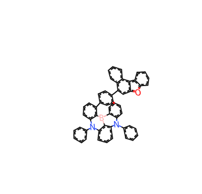 c1ccc(N2c3ccccc3B3c4c(-c5ccc(-c6cc7oc8ccccc8c7c7ccccc67)cc5)cccc4N(c4ccccc4)c4cccc2c43)cc1